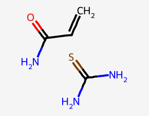 C=CC(N)=O.NC(N)=S